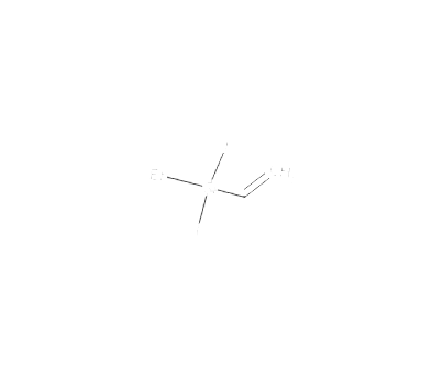 C=C[Si](I)(I)CC